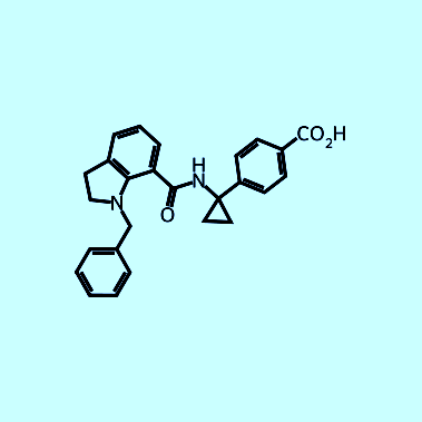 O=C(O)c1ccc(C2(NC(=O)c3cccc4c3N(Cc3ccccc3)CC4)CC2)cc1